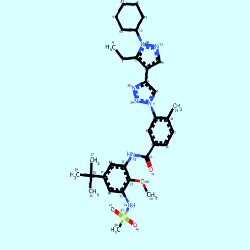 CCc1c(-c2cn(-c3cc(C(=O)Nc4cc(C(C)(C)C)cc(NS(C)(=O)=O)c4OC)ccc3C)nn2)cnn1C1CCCCC1